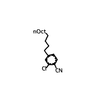 CCCCCCCCCCCCc1ccc(C#N)c(Cl)c1